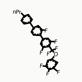 CCCc1ccc(-c2ccc(-c3cc(F)c(C(F)(F)Oc4cc(F)c(F)c(F)c4)c(F)c3)c(F)c2)cc1